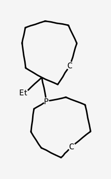 CCC1(P2CCCCCCCC2)CCCCCCCC1